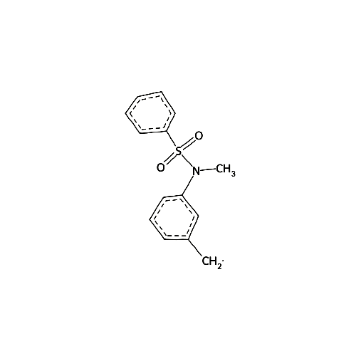 [CH2]c1cccc(N(C)S(=O)(=O)c2ccccc2)c1